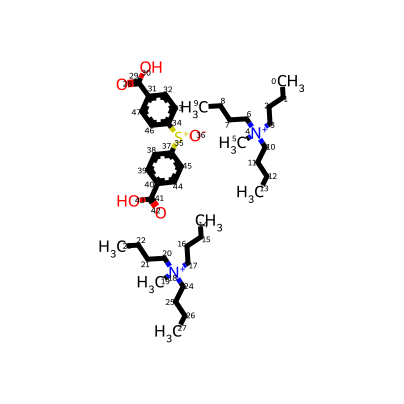 CCCC[N+](C)(CCCC)CCCC.CCCC[N+](C)(CCCC)CCCC.O=C(O)c1ccc([S+]([O-])c2ccc(C(=O)O)cc2)cc1